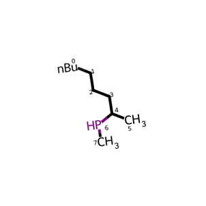 CCCCCCCC(C)PC